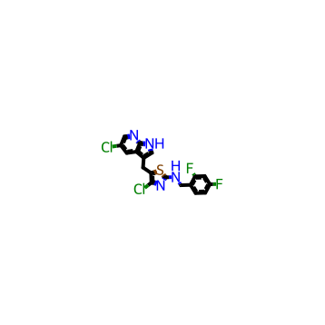 Fc1ccc(CNc2nc(Cl)c(Cc3c[nH]c4ncc(Cl)cc34)s2)c(F)c1